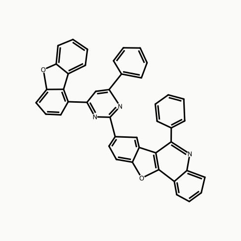 c1ccc(-c2cc(-c3cccc4oc5ccccc5c34)nc(-c3ccc4oc5c6ccccc6nc(-c6ccccc6)c5c4c3)n2)cc1